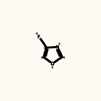 Fc1[c]ocn1